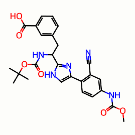 COC(=O)Nc1ccc(-c2c[nH]c(C(Cc3cccc(C(=O)O)c3)NC(=O)OC(C)(C)C)n2)c(C#N)c1